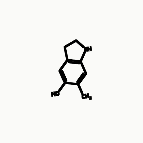 Cc1cc2c(cc1O)CCN2